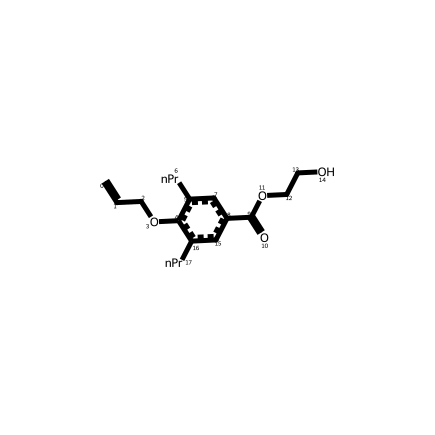 C=CCOc1c(CCC)cc(C(=O)OCCO)cc1CCC